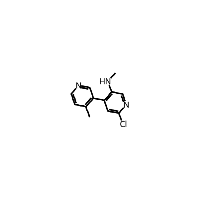 CNc1cnc(Cl)cc1-c1cnccc1C